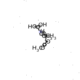 COc1ccc(C(=O)CCC[C@@H](C)[C@H]2CC[C@H]3/C(=C/C=C4C[C@@H](O)C[C@H](O)C4)CCC[C@]23C)cc1